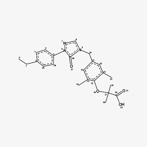 CCc1ccc(-n2ncn(Cc3cc(C)c(OC(C)(C)C(=O)O)c(C)c3)c2=O)cc1